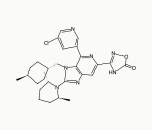 C[C@H]1CCC[C@H](C)N1c1nc2cc(-c3noc(=O)[nH]3)nc(-c3cncc(Cl)c3)c2n1C[C@H]1CC[C@H](C)CC1